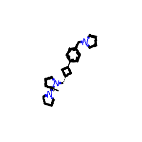 C[C@@]1(N2CCCC2)CCCN1C[C@H]1C[C@H](c2ccc(CN3CCCC3)cc2)C1